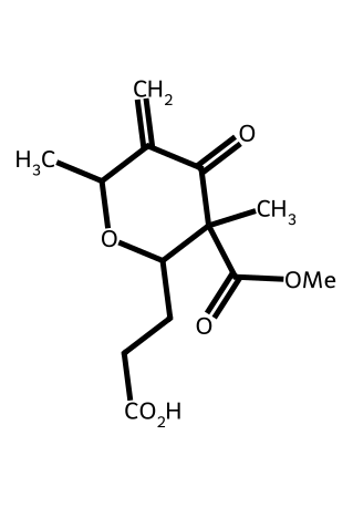 C=C1C(=O)C(C)(C(=O)OC)C(CCC(=O)O)OC1C